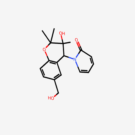 CC1(C)Oc2ccc(CO)cc2C(n2ccccc2=O)C1(C)O